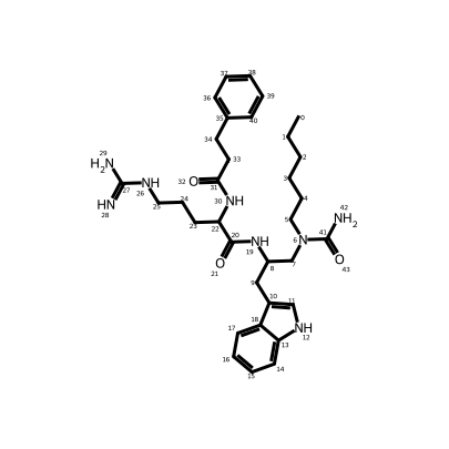 CCCCCCN(CC(Cc1c[nH]c2ccccc12)NC(=O)C(CCCNC(=N)N)NC(=O)[CH]Cc1ccccc1)C(N)=O